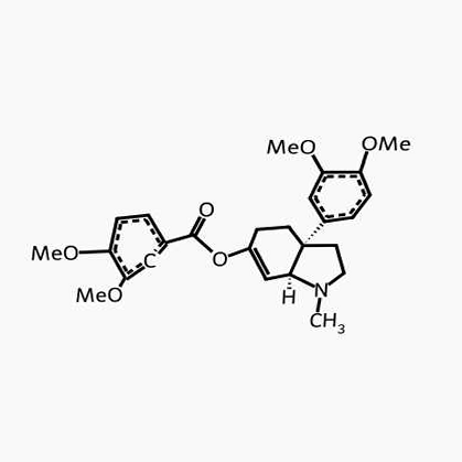 COc1ccc(C(=O)OC2=C[C@@H]3N(C)CC[C@]3(c3ccc(OC)c(OC)c3)CC2)cc1OC